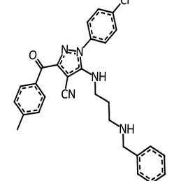 Cc1ccc(C(=O)c2nn(-c3ccc(Cl)cc3)c(NCCCNCc3ccccc3)c2C#N)cc1